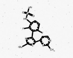 CCCS(=O)(=O)Nc1ccc(F)c(-c2nc(C(C)(C)C)sc2-c2ccnc(C)n2)c1F